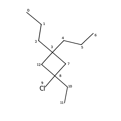 CCCC1(CCC)CC(Cl)(CC)C1